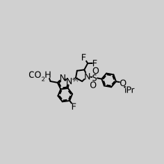 CC(C)Oc1ccc(S(=O)(=O)N2C[C@H](n3nc(CC(=O)O)c4ccc(F)cc43)CC2C(F)F)cc1